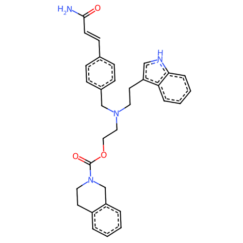 NC(=O)/C=C/c1ccc(CN(CCOC(=O)N2CCc3ccccc3C2)CCc2c[nH]c3ccccc23)cc1